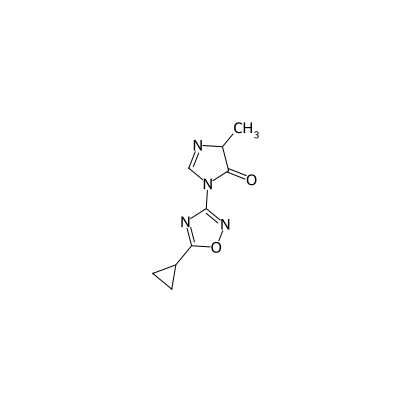 CC1N=CN(c2noc(C3CC3)n2)C1=O